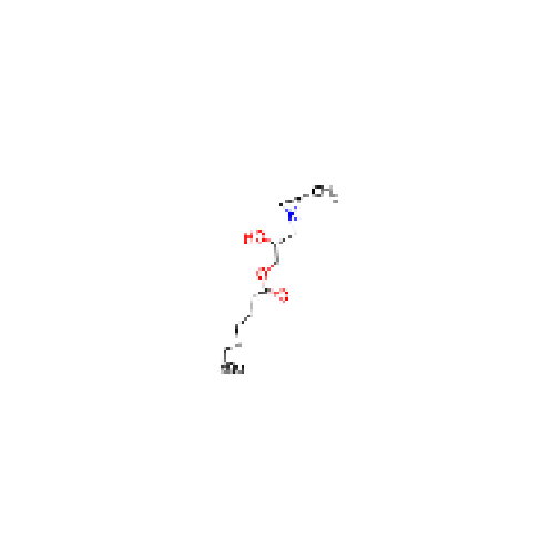 CC1CN1CC(O)COC(=O)CCCCCC(C)(C)C